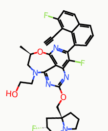 C#Cc1c(F)ccc2cccc(-c3nc4c5c(nc(OC[C@@]67CCCN6C[C@H](F)C7)nc5c3F)N(CCO)C[C@@H](C)O4)c12